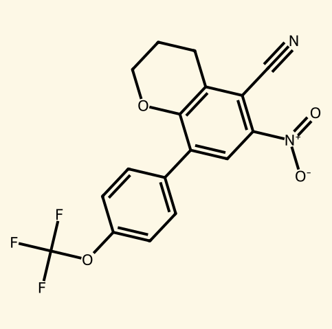 N#Cc1c([N+](=O)[O-])cc(-c2ccc(OC(F)(F)F)cc2)c2c1CCCO2